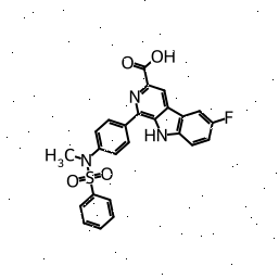 CN(c1ccc(-c2nc(C(=O)O)cc3c2[nH]c2ccc(F)cc23)cc1)S(=O)(=O)c1ccccc1